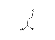 CCCC(CC)C[CH]Cl